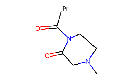 CC(C)C(=O)N1CCN(C)CC1=O